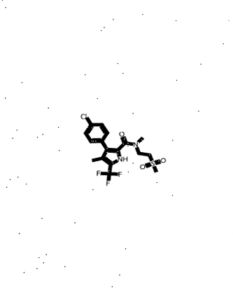 Cc1c(C(F)(F)F)[nH]c(C(=O)N(C)CCS(C)(=O)=O)c1-c1ccc(Cl)cc1